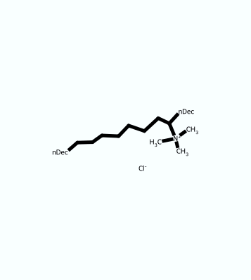 CCCCCCCCCCCCCCCCCC(CCCCCCCCCC)[N+](C)(C)C.[Cl-]